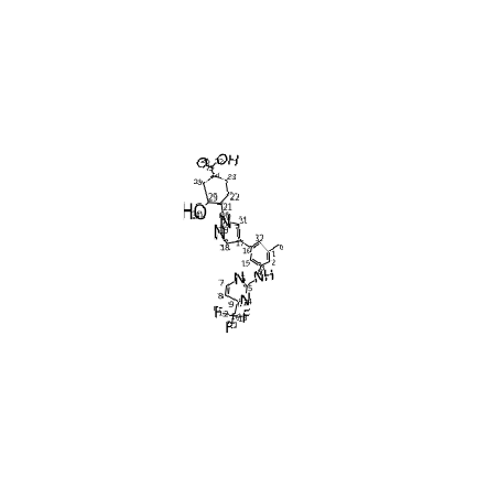 Cc1cc(Nc2nccc(C(F)(F)F)n2)cc(-c2cnn(C3CCC(C(=O)O)CC3O)c2)c1